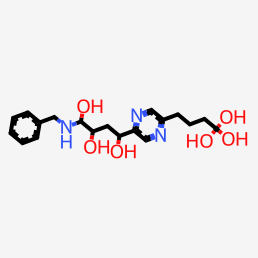 OC(CC(O)C(O)NCc1ccccc1)c1cnc(CCCC(O)(O)O)cn1